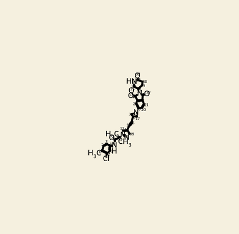 Cc1ccc(NC(=O)C(C)(C)n2cc(C#CC3CN(c4ccc5c(c4)C(=O)N(C4CCC(=O)NC4=O)C5=O)C3)cn2)cc1Cl